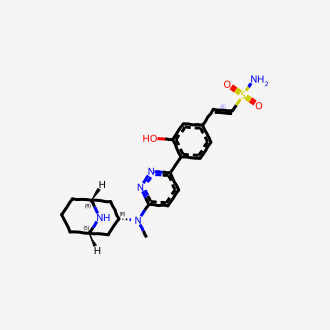 CN(c1ccc(-c2ccc(/C=C/S(N)(=O)=O)cc2O)nn1)[C@H]1C[C@H]2CCC[C@@H](C1)N2